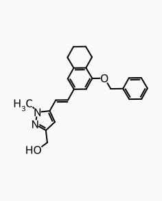 Cn1nc(CO)cc1C=Cc1cc2c(c(OCc3ccccc3)c1)CCCC2